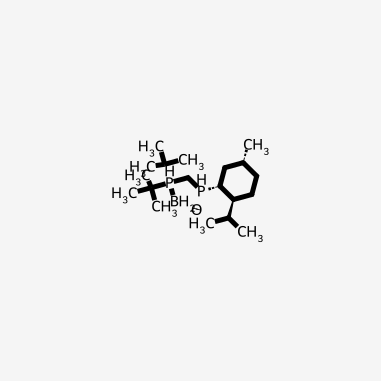 B[PH](C[PH](=O)[C@@H]1C[C@H](C)CC[C@H]1C(C)C)(C(C)(C)C)C(C)(C)C